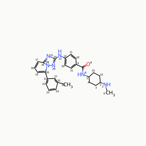 CNC1CCC(NC(=O)c2ccc(Nc3nc4cccc(-c5cccc(C)c5)n4n3)cc2)CC1